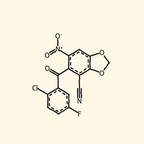 N#Cc1c2c(cc([N+](=O)[O-])c1C(=O)c1cc(F)ccc1Cl)OCO2